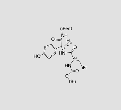 CCCCCNC(=O)[C@@](C)(NC(=O)[C@H](CC(C)C)NC(=O)OC(C)(C)C)c1ccc(O)cc1